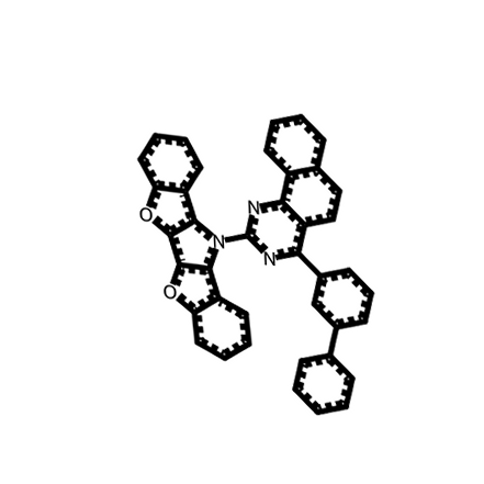 c1ccc(-c2cccc(-c3nc(-n4c5c6ccccc6oc5c5oc6ccccc6c54)nc4c3ccc3ccccc34)c2)cc1